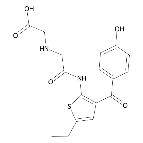 CCc1cc(C(=O)c2ccc(O)cc2)c(NC(=O)CNCC(=O)O)s1